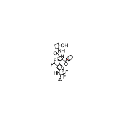 O=C(N[C@H]1CCC[C@@H]1O)c1nc(C(=O)N2C3CCC2CC3)c(-c2cnc(N[C@@H](C3CC3)C(F)(F)F)cc2C(F)F)s1